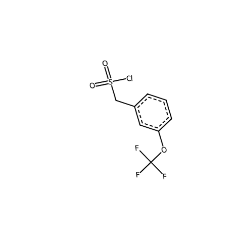 O=S(=O)(Cl)Cc1cccc(OC(F)(F)F)c1